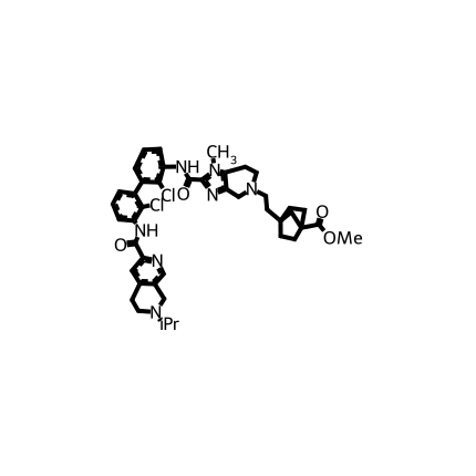 COC(=O)C12CCC(CCN3CCc4c(nc(C(=O)Nc5cccc(-c6cccc(NC(=O)c7cc8c(cn7)CN(C(C)C)CC8)c6Cl)c5Cl)n4C)C3)(CC1)C2